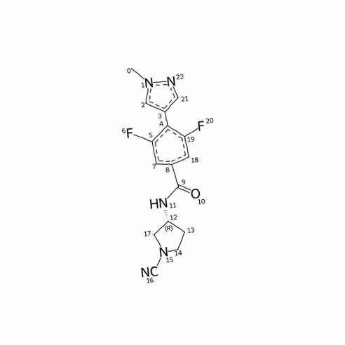 Cn1cc(-c2c(F)cc(C(=O)N[C@@H]3CCN(C#N)C3)cc2F)cn1